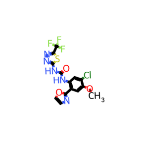 COc1cc(-c2ncco2)c(NC(=O)Nc2nnc(C(F)(F)F)s2)cc1Cl